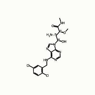 CNC(=O)[C@@H](OC)[C@@H](N)[C@@H](O)n1cnc2c(NCc3cc(Cl)ccc3Cl)ncnc21